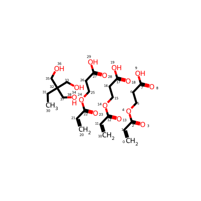 C=CC(=O)OCCC(=O)O.C=CC(=O)OCCC(=O)O.C=CC(=O)OCCC(=O)O.CCC(CO)(CO)CO